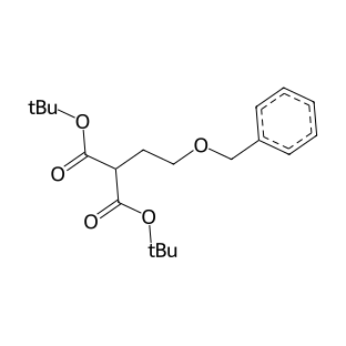 CC(C)(C)OC(=O)C(CCOCc1ccccc1)C(=O)OC(C)(C)C